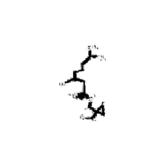 CC(C)=CCC/C(C)=C/C(=O)OCC1(CO)CC1